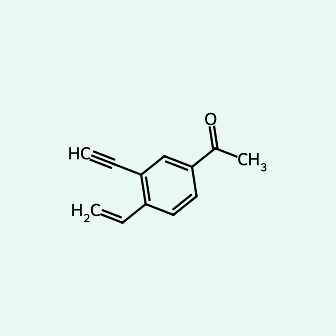 C#Cc1cc(C(C)=O)ccc1C=C